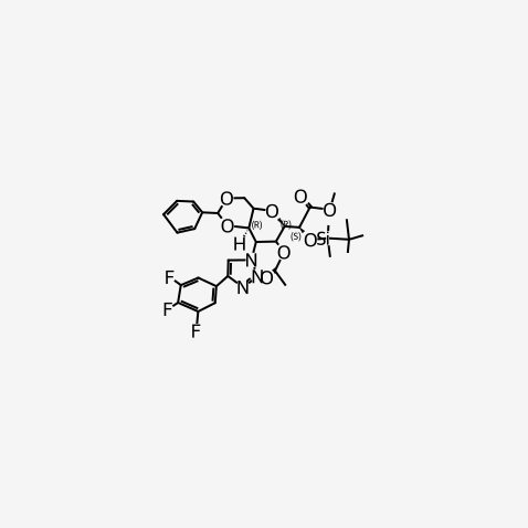 COC(=O)[C@@H](O[Si](C)(C)C(C)(C)C)[C@@H]1OC2COC(c3ccccc3)O[C@@H]2C(n2cc(-c3cc(F)c(F)c(F)c3)nn2)C1OC(C)=O